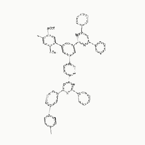 CCCCCCCCc1cc(-c2cc(-c3ccc(-c4cc(-c5cccc(-c6ccc(C)cc6)c5)nc(-c5ccccc5)n4)cc3)cc(-c3nc(-c4ccccc4)cc(-c4ccccc4)n3)c2)c(CCCCCCCC)cc1C